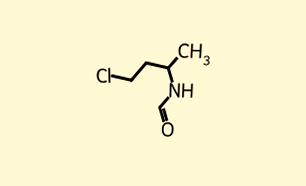 CC(CCCl)NC=O